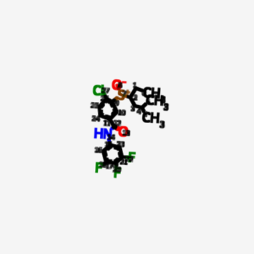 CCC(CC(C)C)[S+]([O-])c1cc(C(=O)Nc2cc(F)c(F)c(F)c2)ccc1Cl